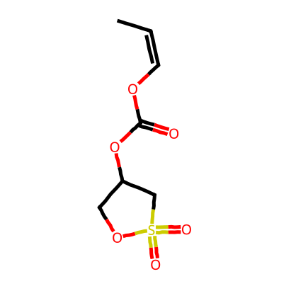 C/C=C\OC(=O)OC1COS(=O)(=O)C1